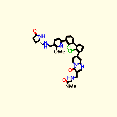 CNC(=O)CNCc1cnc2cc(-c3cccc(-c4cccc(-c5ccc(CNC[C@@H]6CCC(=O)N6)c(OC)n5)c4Cl)c3Cl)ccn2c1=O